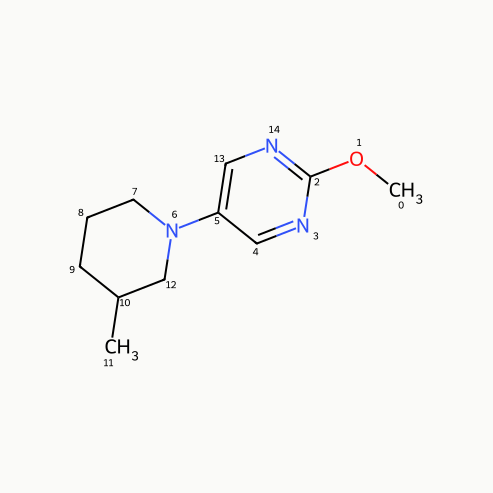 COc1ncc(N2CCCC(C)C2)cn1